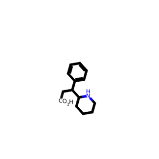 O=C(O)CC(c1ccccc1)C1CCCCN1